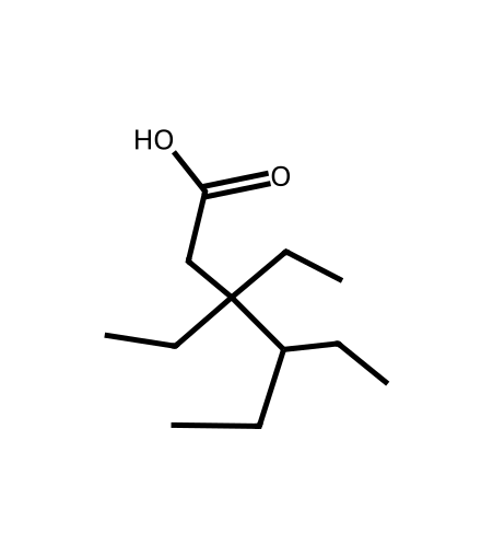 CCC(CC)C(CC)(CC)CC(=O)O